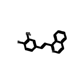 Cc1cc(/C=C/c2nccc3ccccc23)ccc1F